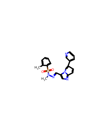 Cc1ccccc1S(=O)(=O)N(C)N=Cc1cnc2ccc(-c3cccnc3)cn12